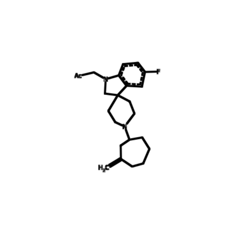 C=C1CCCCC(N2CCC3(CC2)CN(CC(C)=O)c2ccc(F)cc23)C1